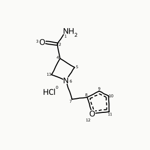 Cl.NC(=O)C1CN(Cc2ccco2)C1